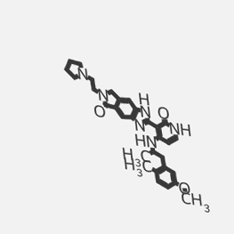 COc1ccc(C)c(CC(C)Nc2cc[nH]c(=O)c2-c2nc3cc4c(cc3[nH]2)CN(CCN2CCCC2)C4=O)c1